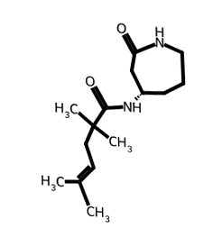 CC(C)=CCC(C)(C)C(=O)N[C@H]1CCCNC(=O)C1